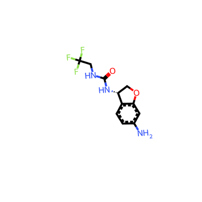 Nc1ccc2c(c1)OC[C@H]2NC(=O)NCC(F)(F)F